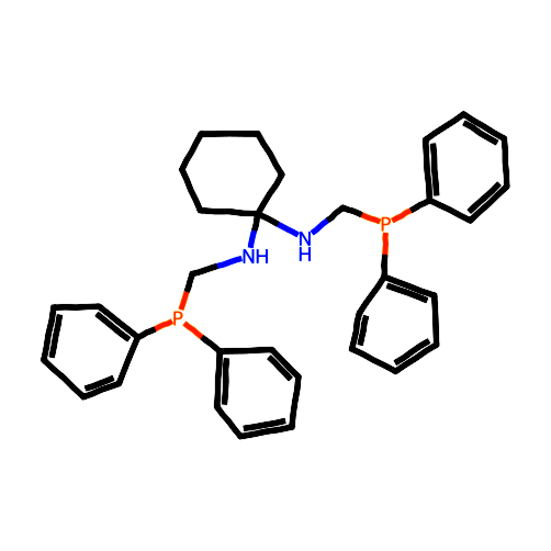 c1ccc(P(CNC2(NCP(c3ccccc3)c3ccccc3)CCCCC2)c2ccccc2)cc1